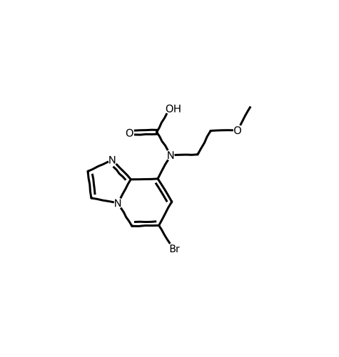 COCCN(C(=O)O)c1cc(Br)cn2ccnc12